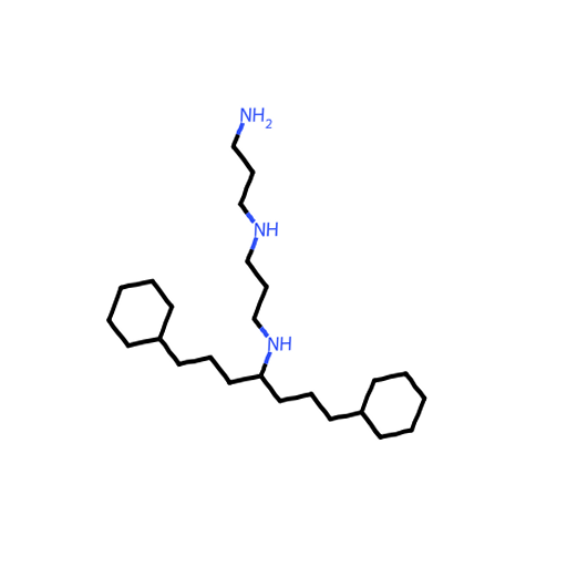 NCCCNCCCNC(CCCC1CCCCC1)CCCC1CCCCC1